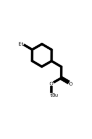 CCC1CCC(CC(=O)OC(C)(C)C)CC1